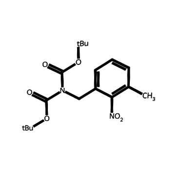 Cc1cccc(CN(C(=O)OC(C)(C)C)C(=O)OC(C)(C)C)c1[N+](=O)[O-]